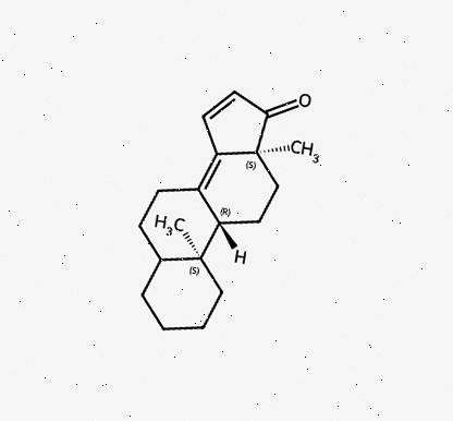 C[C@]12CC[C@H]3C(=C1C=CC2=O)CCC1CCCC[C@@]13C